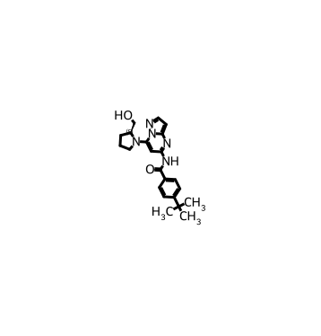 CC(C)(C)c1ccc(C(=O)Nc2cc(N3CCC[C@H]3CO)n3nccc3n2)cc1